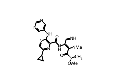 CN/C(C(=O)N(C)OC)=C(\C=N)NC(=O)c1nc(C2CC2)cnc1Nc1cncnc1